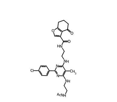 CC(=O)NCCNc1nc(-c2ccc(Cl)cc2)nc(NCCNC(=O)c2coc3c2C(=O)CCC3)c1C